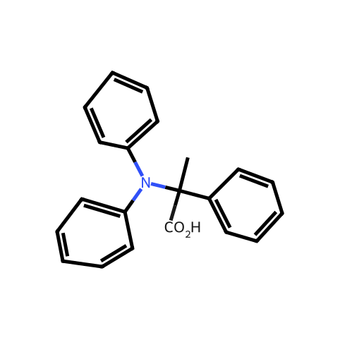 CC(C(=O)O)(c1ccccc1)N(c1ccccc1)c1ccccc1